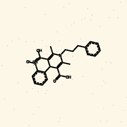 CC1=C(C(=O)O)C(c2ccccc2[N+](=O)[O-])C(C(=O)O)=C(C)N1CCCc1ccccc1